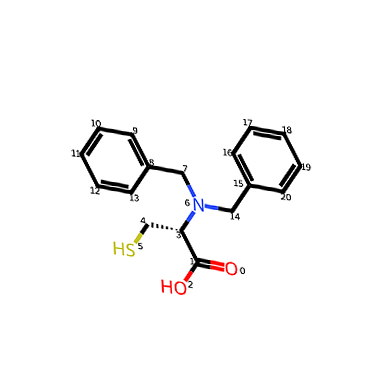 O=C(O)[C@H](CS)N(Cc1ccccc1)Cc1ccccc1